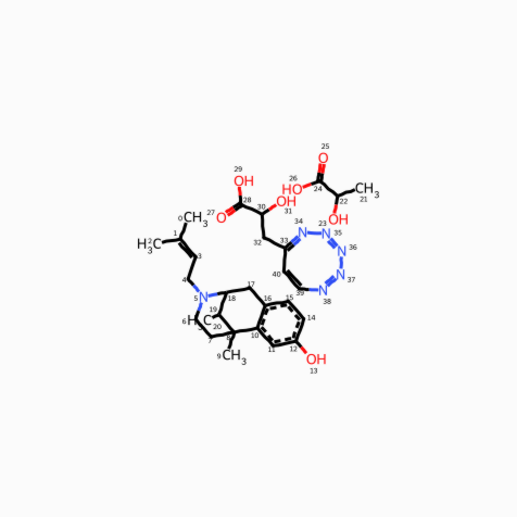 CC(C)=CCN1CCC2(C)c3cc(O)ccc3CC1C2C.CC(O)C(=O)O.O=C(O)C(O)CC1=NN=NN=NC=C1